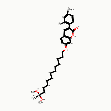 CCCCCc1ccc(-c2cc3ccc(OCCCCCCCCCCCC[Si](C)(OCC)OCC)cc3oc2=O)c(CC)c1